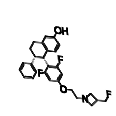 Oc1ccc2c(c1)CC[C@@H](c1ccccc1)[C@H]2c1c(F)cc(OCCN2CC(CF)C2)cc1F